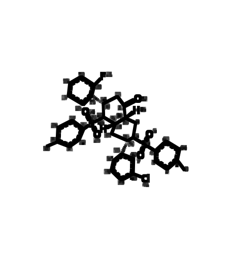 Cc1ccc(S(=O)(=O)C2C[C@H]3C(=O)C[C@@H](c4ccccc4F)C(S(=O)(=O)c4ccc(C)cc4)[C@H]3C[C@H]2c2cccc(Cl)c2)cc1